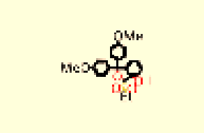 CCS(=O)(=O)C(CO)OC(c1ccccc1)(c1ccc(OC)cc1)c1ccc(OC)cc1